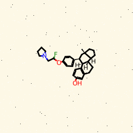 C[C@@]12CCC[C@H]1[C@@H]1CCc3cc(O)ccc3[C@H]1[C@@H](c1ccc(OC(F)CN3CCCC3)cc1)C2